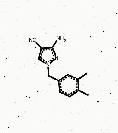 Cc1ccc(Cn2cc(C#N)c(N)n2)cc1C